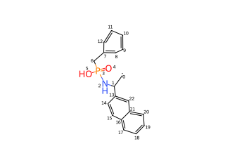 [CH2]C(NP(=O)(O)Cc1ccccc1)c1ccc2ccccc2c1